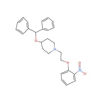 O=[N+]([O-])c1ccccc1OCCN1CCC(OC(c2ccccc2)c2ccccc2)CC1